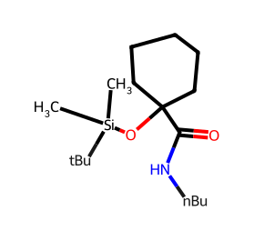 CCCCNC(=O)C1(O[Si](C)(C)C(C)(C)C)CCCCC1